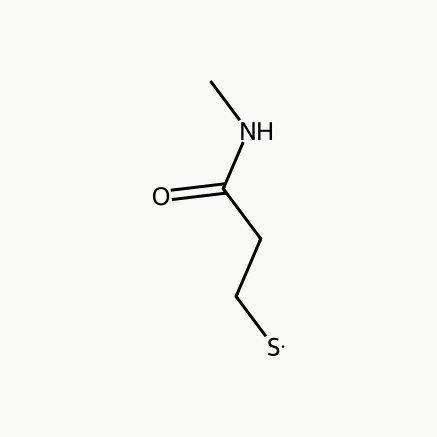 CNC(=O)CC[S]